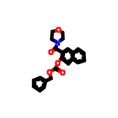 O=C(OCc1ccccc1)Oc1cc2ccccc2cc1C(=O)N1CCOCC1